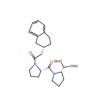 COC(OC)[C@@H]1CCCN1C(=O)[C@@H]1CCCN1C(=O)C[C@H]1CCc2ccccc2C1